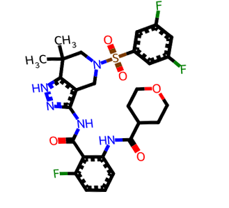 CC1(C)CN(S(=O)(=O)c2cc(F)cc(F)c2)Cc2c(NC(=O)c3c(F)cccc3NC(=O)C3CCOCC3)n[nH]c21